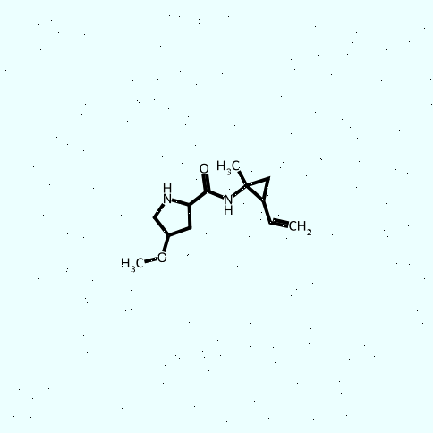 C=CC1CC1(C)NC(=O)C1CC(OC)CN1